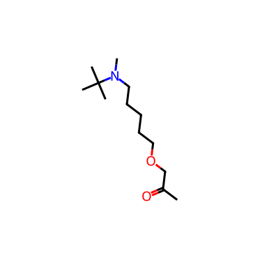 CC(=O)COCCCCCN(C)C(C)(C)C